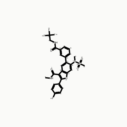 CNC(=O)c1c(-c2ccc(F)cc2)oc2cc(N(C)S(C)(=O)=O)c(-c3cccc(C(=O)NCC(F)(F)F)c3)cc12